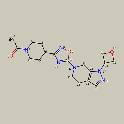 CC(C)C(=O)N1CCC(c2noc(N3CCc4cnn(C5COC5)c4C3)n2)CC1